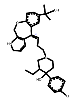 CCC1CN(CC/C=C2\C3=C(COc4ccc(C(C)(C)O)cc42)NCC=C3)CCC1(O)c1ccc(Cl)cc1